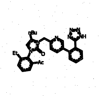 CCCCc1cn(-c2c(CC)cccc2C(C)=O)c(=O)n1Cc1ccc(-c2ccccc2-c2nnn[nH]2)cn1